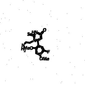 COc1cc(OC)c(-c2cc(=O)[nH]c(=S)n2CCN)cc1F